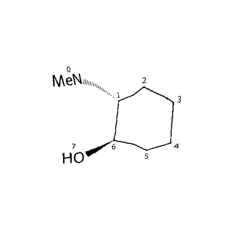 CN[C@@H]1CCCC[C@H]1O